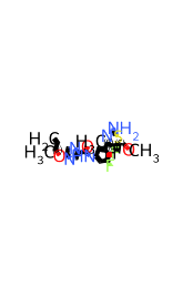 C=C[C@@H](C)Oc1cnc(C(=O)Nc2cc(F)c(F)c([C@@]3(C)N=C(N)S[C@@]4(COC)C[C@H]43)c2)cn1